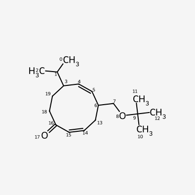 CC(C)C1/C=C\C(COC(C)(C)C)C/C=C\C(=O)CC1